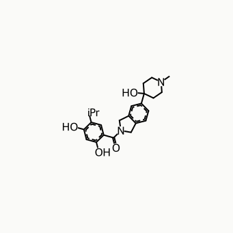 CC(C)c1cc(C(=O)N2Cc3ccc(C4(O)CCN(C)CC4)cc3C2)c(O)cc1O